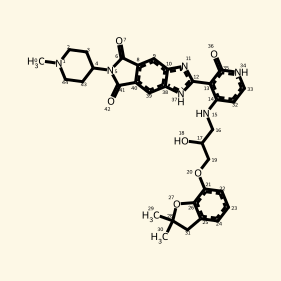 CN1CCC(N2C(=O)c3cc4nc(-c5c(NCC(O)COc6cccc7c6OC(C)(C)C7)cc[nH]c5=O)[nH]c4cc3C2=O)CC1